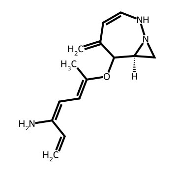 C=C/C(N)=C\C=C(/C)OC1C(=C)C=CNN2C[C@@H]12